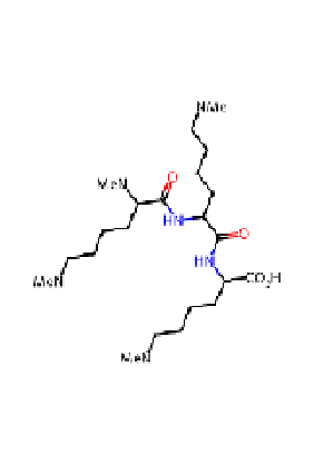 CNCCCCC(NC(=O)C(CCCCNC)NC(=O)C(CCCCNC)NC)C(=O)O